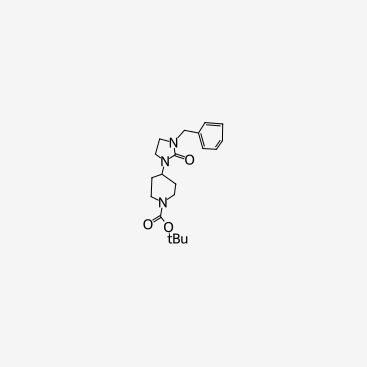 CC(C)(C)OC(=O)N1CCC(N2CCN(Cc3ccccc3)C2=O)CC1